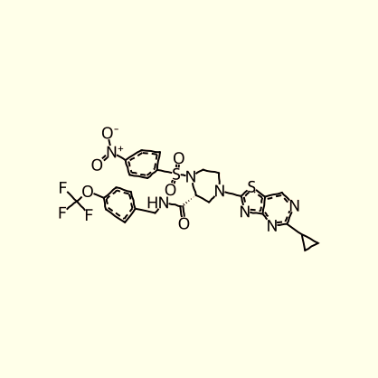 O=C(NCc1ccc(OC(F)(F)F)cc1)[C@H]1CN(c2nc3nc(C4CC4)ncc3s2)CCN1S(=O)(=O)c1ccc([N+](=O)[O-])cc1